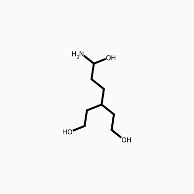 NC(O)CCC(CCO)CCO